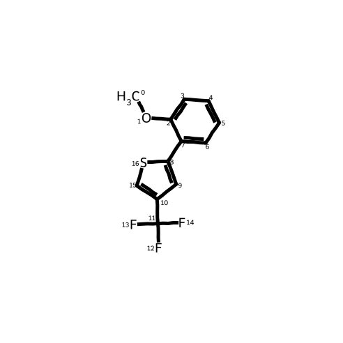 COc1ccccc1-c1cc(C(F)(F)F)cs1